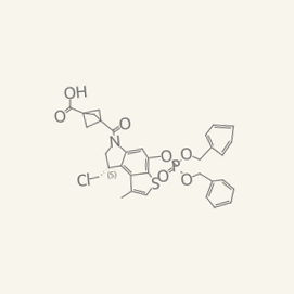 Cc1csc2c(OP(=O)(OCc3ccccc3)OCc3ccccc3)cc3c(c12)[C@H](CCl)CN3C(=O)C12CC(C(=O)O)(C1)C2